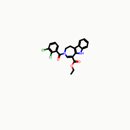 CCOC(=O)C1=CN(C(=O)c2cccc(Cl)c2Cl)CCc2c1[nH]c1ccccc21